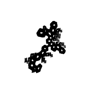 CC1(C)c2ccccc2-c2ccc(N(c3ccc4c(c3)C(C)(C)c3cc5c(cc3-4)C(C)(C)c3ccc4oc6ccccc6c4c3-5)c3ccc4c(c3)C(C)(C)c3c5c(c6oc7ccccc7c6c3-4)-c3ccccc3C5(C)C)cc21